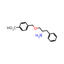 N[C@H](COCc1ccc(C(=O)O)cc1)Cc1ccccc1